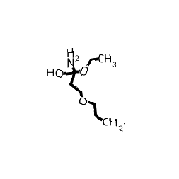 [CH2]CCOCCC(N)(O)OCC